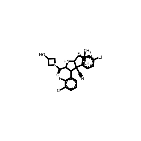 CC(C)(C)CC1NC(C(=O)N2CC(O)C2)C(c2cccc(Cl)c2F)C1(C#N)c1ccc(Cl)cc1F